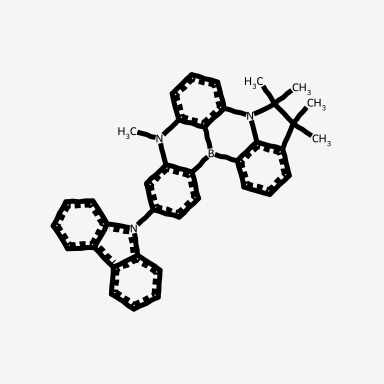 CN1c2cc(-n3c4ccccc4c4ccccc43)ccc2B2c3cccc4c3N(c3cccc1c32)C(C)(C)C4(C)C